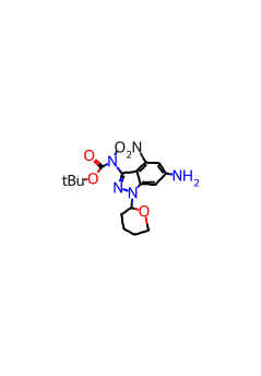 CN(C(=O)OC(C)(C)C)c1nn(C2CCCCO2)c2cc(N)cc([N+](=O)[O-])c12